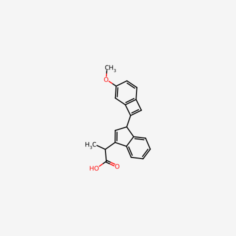 COc1ccc2c(c1)C(C1C=C(C(C)C(=O)O)c3ccccc31)=C2